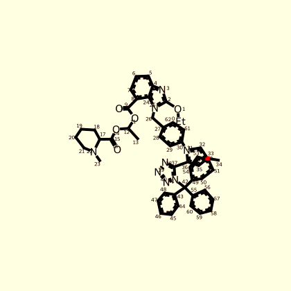 CCOc1nc2cccc(C(=O)OC(C)OC(=O)C3CCCCN3C)c2n1Cc1ccc(-n2cc(C)cc2-c2nnnn2C(c2ccccc2)(c2ccccc2)c2ccccc2)cc1